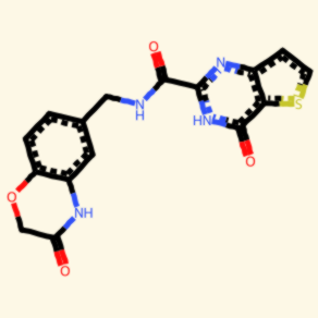 O=C1COc2ccc(CNC(=O)c3nc4ccsc4c(=O)[nH]3)cc2N1